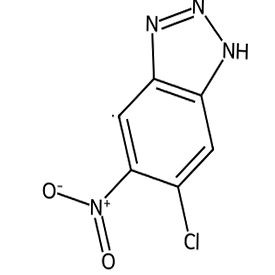 O=[N+]([O-])c1[c]c2nn[nH]c2cc1Cl